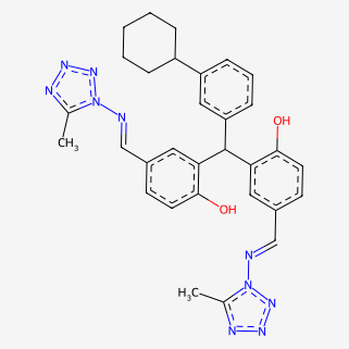 Cc1nnnn1N=Cc1ccc(O)c(C(c2cccc(C3CCCCC3)c2)c2cc(C=Nn3nnnc3C)ccc2O)c1